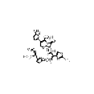 CO/N=C(\C(=O)N[C@@H]1C(=O)N2C(C(=O)O)=C([C@H]3CC[C@@H](C)O3)CS[C@H]12)c1csc(N)n1.CO/N=C(\C(=O)O)c1csc(N)n1